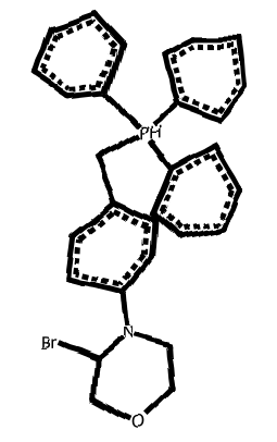 BrC1COCCN1c1ccc(C[PH](c2ccccc2)(c2ccccc2)c2ccccc2)cc1